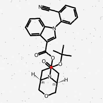 CC(C)(C)OC(=O)N1[C@@H]2COC[C@H]1CC(OC(=O)c1cn(-c3ccccc3C#N)c3ccccc13)C2